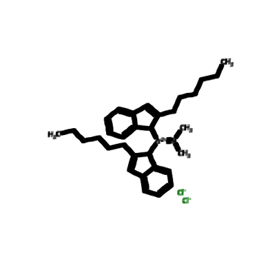 CCCCCCC1=Cc2ccccc2[CH]1[Zr+2]([CH]1C(CCCCCC)=Cc2ccccc21)=[Si](C)C.[Cl-].[Cl-]